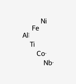 [Al].[Co].[Fe].[Nb].[Ni].[Ti]